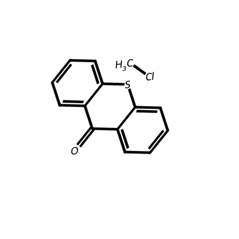 CCl.O=c1c2ccccc2sc2ccccc12